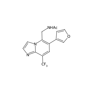 CC(=O)NCc1c(-c2ccoc2)cc(C(F)(F)F)c2nccn12